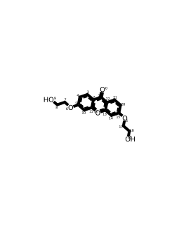 O=c1c2ccc(OCCO)cc2oc2cc(OCCO)ccc12